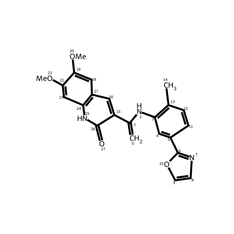 C=C(Nc1cc(-c2ncco2)ccc1C)c1cc2cc(OC)c(OC)cc2[nH]c1=O